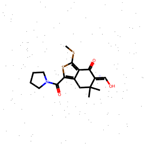 CSc1sc(C(=O)N2CCCC2)c2c1C(=O)/C(=C/O)C(C)(C)C2